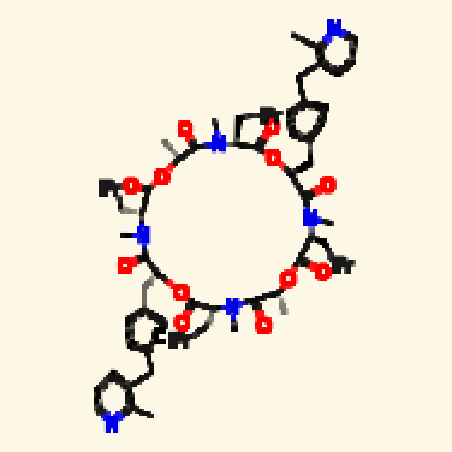 Cc1ncccc1Cc1ccc(C[C@@H]2OC(=O)[C@H](CC(C)C)N(C)C(=O)[C@@H](C)OC(=O)[C@@H](CC(C)C)N(C)C(=O)[C@@H](Cc3ccc(Cc4cccnc4C)cc3)OC(=O)[C@@H](CC(C)C)N(C)C(=O)[C@@H](C)OC(=O)[C@H](CC(C)C)N(C)C2=O)cc1